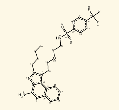 CCCCc1nc2c(N)nc3ccccc3c2n1CCOCCNS(=O)(=O)c1ccc(C(C)(F)F)cc1